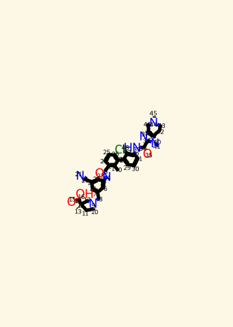 Cc1c(-c2nc3cc(CN4CC[C@@](C)(C(=O)O)C4)cc(C#N)c3o2)cccc1-c1cccc(NC(=O)c2nc3c(n2C)CCN(C)C3)c1Cl